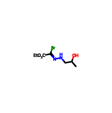 CCOC(=O)C(Br)=NNCC(C)O